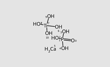 O=P(O)(O)O.[CaH2].[OH][Ti]([OH])([OH])[OH]